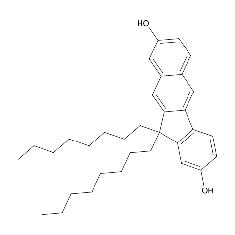 CCCCCCCCC1(CCCCCCCC)c2cc(O)ccc2-c2cc3ccc(O)cc3cc21